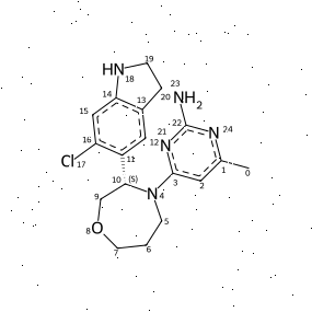 Cc1cc(N2CCCOC[C@@H]2c2cc3c(cc2Cl)NCC3)nc(N)n1